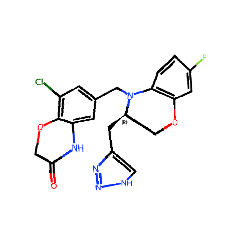 O=C1COc2c(Cl)cc(CN3c4ccc(F)cc4OC[C@H]3Cc3c[nH]nn3)cc2N1